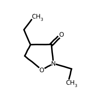 CCC1CON(CC)C1=O